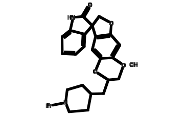 CC(C)N1CCC(CC2COc3cc4c(cc3O2)C2(CO4)C(=O)Nc3ccccc32)CC1.Cl